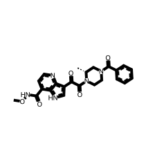 CONC(=O)c1ccnc2c(C(=O)C(=O)N3CCN(C(=O)c4ccccc4)C[C@H]3C)c[nH]c12